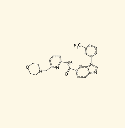 O=C(Nc1cccc(CN2CCOCC2)n1)c1ccc2ncn(-c3cccc(C(F)(F)F)c3)c2n1